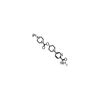 CC(C)N1CCN(C(=O)OC2CCN(c3ccc(C(N)=O)nc3)CC2)CC1